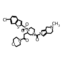 CN1CCc2cn(C(=O)N3CCN(S(=O)(=O)c4cc5ccc(Cl)cc5s4)C(CC(=O)N4CCOCC4)C3)cc2C1